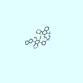 C=Cc1c(C=C)c(-c2ccc3ccccc3c2)c2c(c1-c1cccc(C3=C/C=C/C(C)(C)c4c(c5sc6c(c5c5ccccc45)CCC=C6)\C=C\3)c1)=CCCC=2